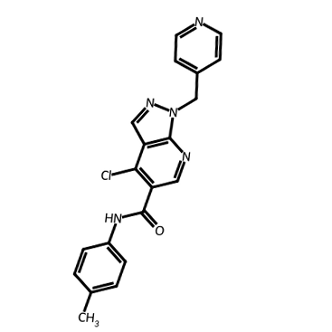 Cc1ccc(NC(=O)c2cnc3c(cnn3Cc3ccncc3)c2Cl)cc1